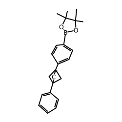 CC1(C)OB(c2ccc(C34CC(c5ccccc5)(C3)C4)cc2)OC1(C)C